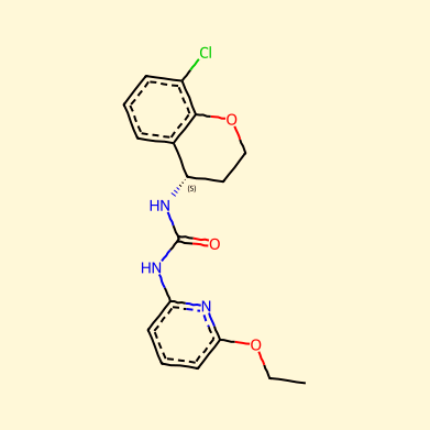 CCOc1cccc(NC(=O)N[C@H]2CCOc3c(Cl)cccc32)n1